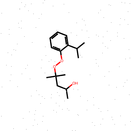 CC(O)CC(C)(C)OOc1ccccc1C(C)C